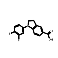 O=C(O)c1ccc2c(c1)CCN2c1ccc(F)c(F)c1